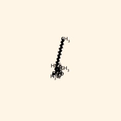 CCCCCCCCCCCCCCCC(=S)N[C@@H]1C[C@H](COC)C(OP(=O)(O)OC)[C@@H]1OC